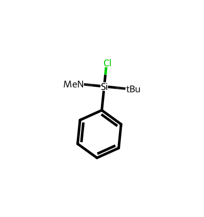 CN[Si](Cl)(c1ccccc1)C(C)(C)C